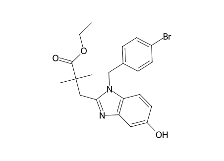 CCOC(=O)C(C)(C)Cc1nc2cc(O)ccc2n1Cc1ccc(Br)cc1